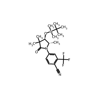 C[C@H]1[C@H](O[Si](C)(C)C(C)(C)C)C(C)(C)C(=O)N1c1ccc(C#N)c(C(F)(F)F)c1